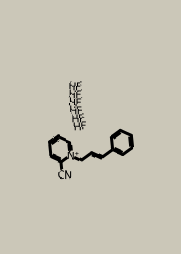 F.F.F.F.F.F.N#Cc1cccc[n+]1C/C=C/c1ccccc1